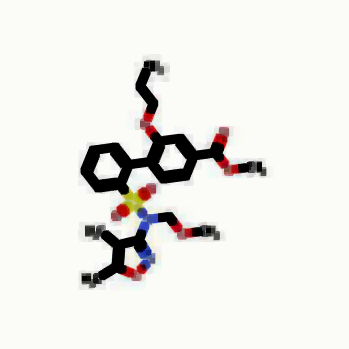 CCCOc1cc(C(=O)OC)ccc1-c1ccccc1S(=O)(=O)N(COC)c1noc(C)c1C